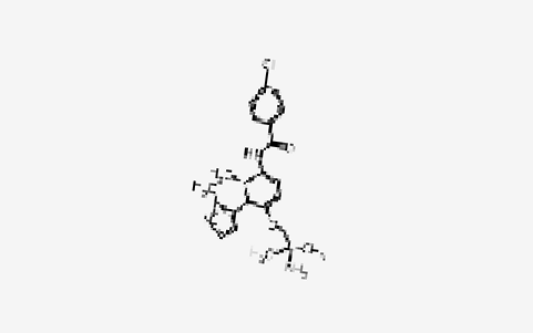 C[C@H]1C(NC(=O)c2ccc(Cl)cc2)=CC=C(OCC(C)(C)N)C1c1ccnn1C